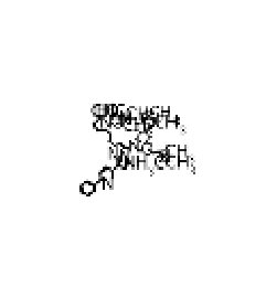 CC1CCC(CCc2cc(N(COCC[Si](C)(C)C)COCC[Si](C)(C)C)n3ncc(-c4ccc(-c5ccccc5)nc4)c3n2)N1C(=O)OC(C)(C)C